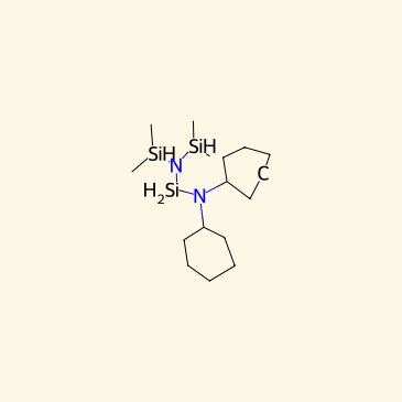 C[SiH](C)N([SiH2]N(C1CCCCC1)C1CCCCC1)[SiH](C)C